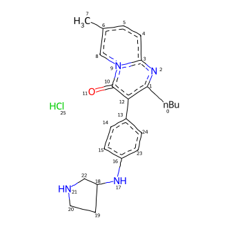 CCCCc1nc2ccc(C)cn2c(=O)c1-c1ccc(NC2CCNC2)cc1.Cl